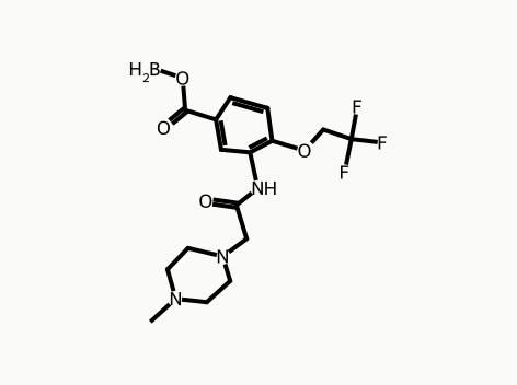 BOC(=O)c1ccc(OCC(F)(F)F)c(NC(=O)CN2CCN(C)CC2)c1